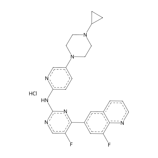 Cl.Fc1cnc(Nc2ccc(N3CCN(C4CC4)CC3)cn2)nc1-c1cc(F)c2ncccc2c1